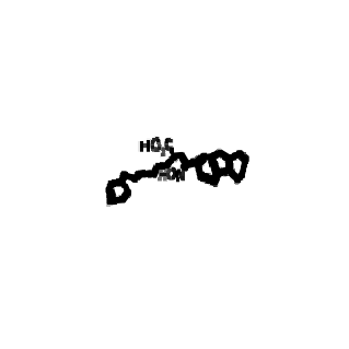 O=C(O)[C@H](CCCCCCc1ccccc1)CC(=NO)c1ccc2c(c1)CC1=C2CCCC1